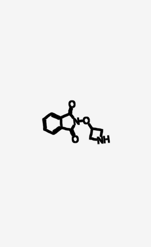 O=C1c2ccccc2C(=O)N1OC1CNC1